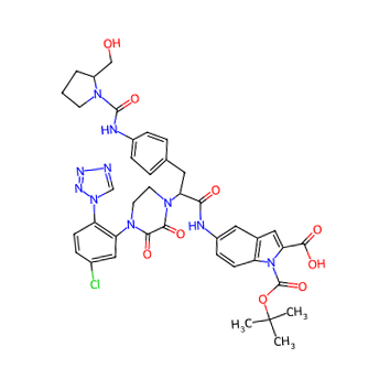 CC(C)(C)OC(=O)n1c(C(=O)O)cc2cc(NC(=O)C(Cc3ccc(NC(=O)N4CCCC4CO)cc3)N3CCN(c4cc(Cl)ccc4-n4cnnn4)C(=O)C3=O)ccc21